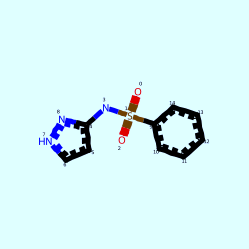 O=S(=O)([N]c1cc[nH]n1)c1ccccc1